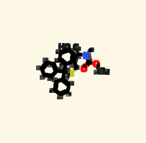 CN(C(=O)OC(C)(C)C)[C@H](CCSC(c1ccccc1)(c1ccccc1)c1ccccc1)C(=O)O